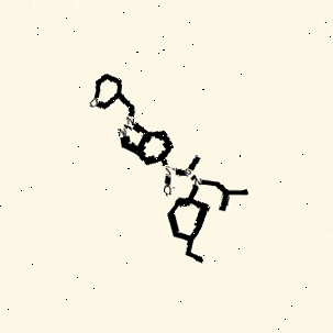 CCC1C=CC=C(N(CC(C)C)P(C)[S+]([O-])c2ccc3c(cnn3CC3CCCOC3)c2)C=C1